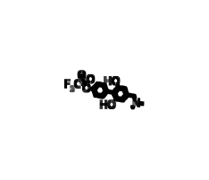 CN(C)Cc1cc(O)c(-c2ccc(OS(=O)(=O)C(F)(F)F)cc2)c(O)c1